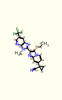 CCSc1c(-c2nc3cc(C(F)(F)F)cnc3n2C)nc2cc(C3(C#N)CC3)ccn12